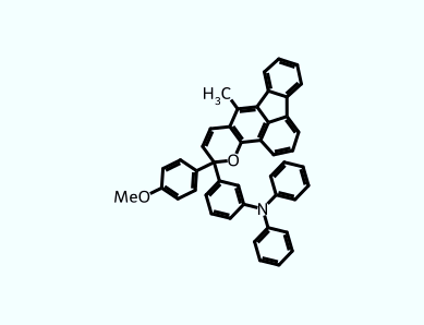 COc1ccc(C2(c3cccc(N(c4ccccc4)c4ccccc4)c3)C=Cc3c(C)c4c5c(cccc5c3O2)-c2ccccc2-4)cc1